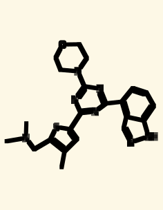 Cc1cc(-c2nc(-c3cccc4[nH]ncc34)nc(N3CCOCC3)n2)sc1CN(C)C